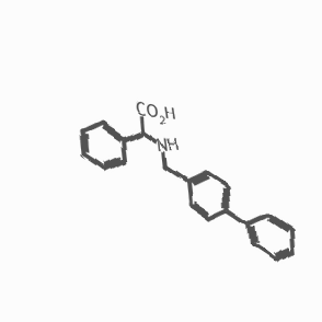 O=C(O)C(NCc1ccc(-c2ccccc2)cc1)c1ccccc1